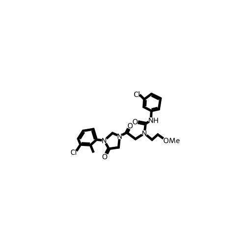 COCCN(CC(=O)N1CC(=O)N(c2cccc(Cl)c2C)C1)C(=O)Nc1cccc(Cl)c1